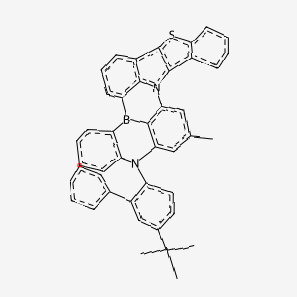 Cc1cc2c3c(c1)-n1c4c(cccc4c4sc5ccccc5c41)B3c1ccccc1N2c1ccc(C(C)(C)C)cc1-c1ccccc1